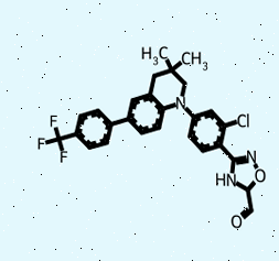 CC1(C)Cc2cc(-c3ccc(C(F)(F)F)cc3)ccc2N(c2ccc(C3=NOC(C=O)N3)c(Cl)c2)C1